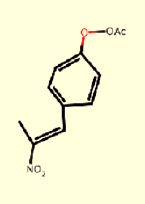 CC(=O)OOc1ccc(/C=C(\C)[N+](=O)[O-])cc1